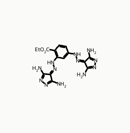 CCOC(=O)c1ccc(NN=C2C(N)=NN=C2N)cc1NN=C1C(N)=NN=C1N